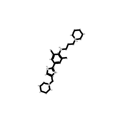 Cc1cc(-c2nc(CN3CCCCC3)co2)cc(C)c1OCCCN1CCCCC1